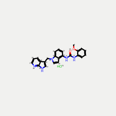 COc1ccccc1NC(=O)Nc1cccc2c1ccn2Cc1c[nH]c2ncccc12.Cl